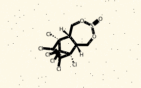 O=S1OC[C@@H]2[C@H](CO1)[C@@]1(Cl)C(Cl)=C(Cl)[C@]2(Cl)C1(Cl)Cl